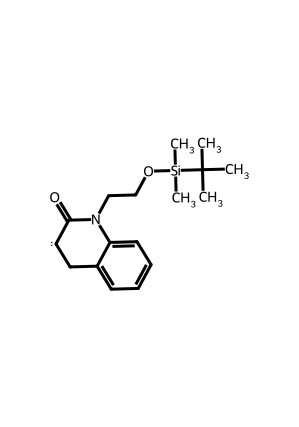 CC(C)(C)[Si](C)(C)OCCN1C(=O)[C]Cc2ccccc21